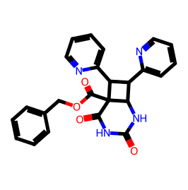 O=C1NC(=O)C2(C(=O)OCc3ccccc3)C(N1)C(c1ccccn1)C2c1ccccn1